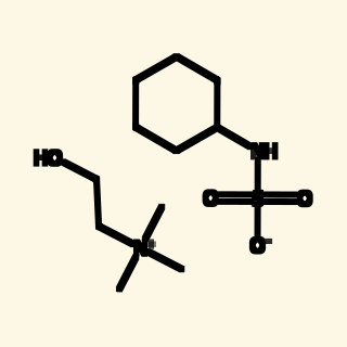 C[N+](C)(C)CCO.O=S(=O)([O-])NC1CCCCC1